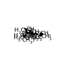 C=C[C@H](C)[C@H](O[Si](C)(C)C(C)(C)C)[C@@H](C)C(=O)C(C)(C)[C@@H](C)CC(=O)OC(C)(C)C